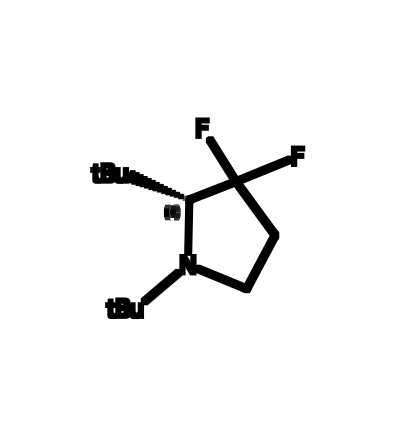 CC(C)(C)[C@H]1N(C(C)(C)C)CCC1(F)F